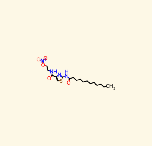 CCCCCCCCCCCC(=O)Nc1nc(C(=O)NCCO[N+](=O)[O-])cs1